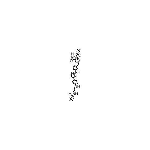 CC(C)(C)OC(=O)CN1CCN(Cc2cccc(Nc3nccc(-c4ccc(NCCCNC(=O)OC(C)(C)C)nc4)n3)c2)CC1C(N)=O